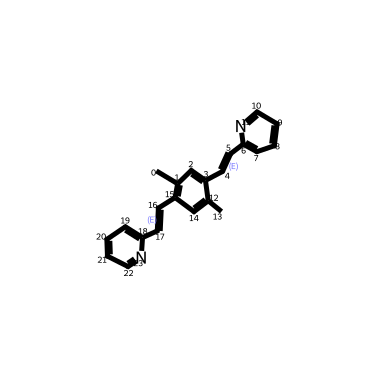 Cc1cc(/C=C/c2ccccn2)c(C)cc1/C=C/c1ccccn1